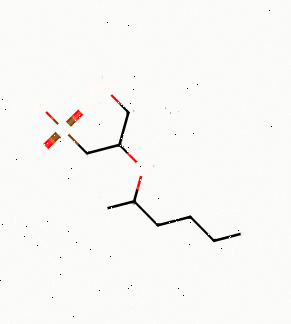 CCCCC(C)OC(CO)CS(=O)(=O)[O-].[Na+]